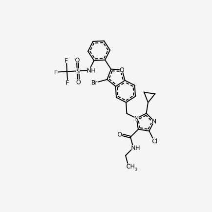 CCNC(=O)c1c(Cl)nc(C2CC2)n1Cc1ccc2oc(-c3ccccc3NS(=O)(=O)C(F)(F)F)c(Br)c2c1